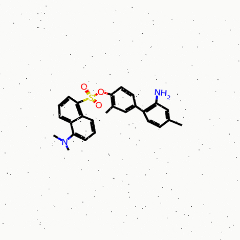 Cc1ccc(-c2ccc(OS(=O)(=O)c3cccc4c(N(C)C)cccc34)c(C)c2)c(N)c1